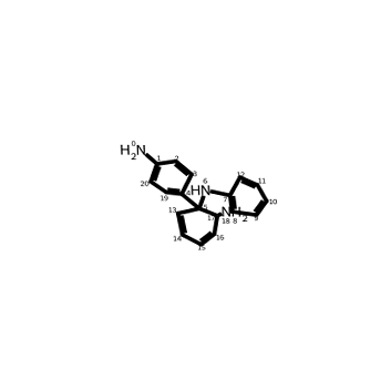 Nc1ccc(C2(Nc3ccccc3)C=CC=CC2N)cc1